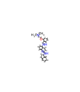 CN(C)CCOc1ccccc1CNc1cccc2nc(N[C@@H]3CCc4ccccc43)ccc12